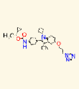 C[C@@H](OC(=O)Nc1ccc(-c2c(C#N)c3cc(OCCCn4cncn4)ccc3n2C2CCC2)cc1)C1CC1